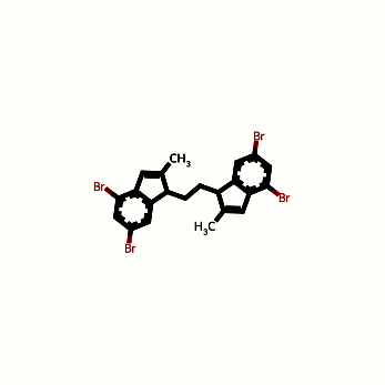 CC1=Cc2c(Br)cc(Br)cc2C1CCC1C(C)=Cc2c(Br)cc(Br)cc21